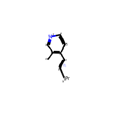 Cc1cnccc1/C=C/C(C)C